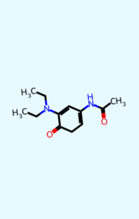 CCN(CC)C1=CC(NC(C)=O)=CCC1=O